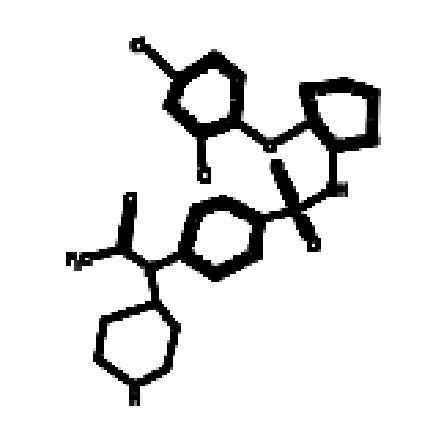 O=C(N(c1ccc(S(=O)(=O)Nc2ccccc2Oc2ccc(Cl)cc2Cl)cc1)C1CCNCC1)C(F)(F)F